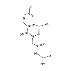 CCC[C@@H](CC)NC(=O)Cn1nc(C(C)C)c2cc(Br)ccc2c1=O